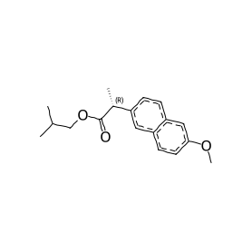 COc1ccc2cc([C@@H](C)C(=O)OCC(C)C)ccc2c1